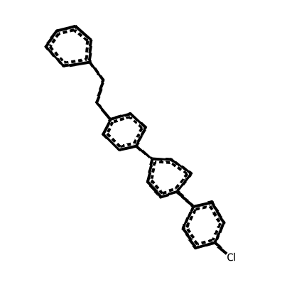 Clc1ccc(-c2ccc(-c3ccc(CCc4ccccc4)cc3)cc2)cc1